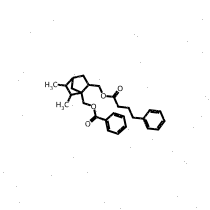 CC1C2CC(COC(=O)CCCc3ccccc3)C(COC(=O)c3ccccc3)(C2)C1C